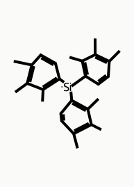 Cc1ccc([Si](c2ccc(C)c(C)c2C)c2ccc(C)c(C)c2C)c(C)c1C